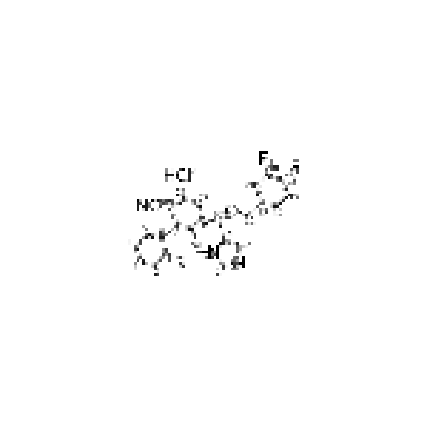 Cc1ccccc1-c1cc(C(OCc2ccc(F)c(F)c2)c2cncn2C)ccc1C#N.Cl